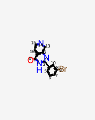 O=c1[nH]c(-c2cccc(Br)c2)nc2cnccc12